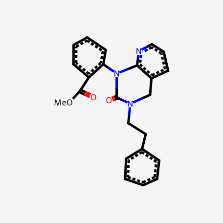 COC(=O)c1ccccc1N1C(=O)N(CCc2ccccc2)Cc2cccnc21